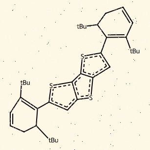 CC(C)(C)C1=C(c2cc3sc4cc(C5=C(C(C)(C)C)C=CCC5C(C)(C)C)sc4c3s2)C(C(C)(C)C)CC=C1